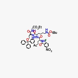 CCOC(=O)CNC(=O)[C@H](CCOC(c1ccccc1)(c1ccccc1)c1ccccc1)NC(=O)C(CCCCNC(=O)OC(C)(C)C)NC(=O)C(CCC(C)=O)NC(=O)c1cc([N+](=O)[O-])ccc1F